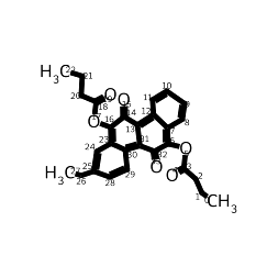 CCCC(=O)OC1=c2ccccc2=C2C(=O)C(OC(=O)CCC)=c3cc(CC)ccc3=C2C1=O